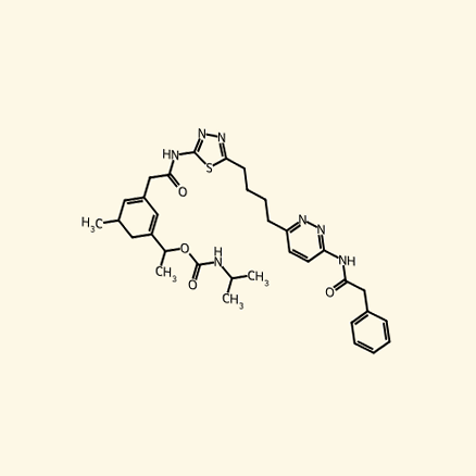 CC1C=C(CC(=O)Nc2nnc(CCCCc3ccc(NC(=O)Cc4ccccc4)nn3)s2)C=C(C(C)OC(=O)NC(C)C)C1